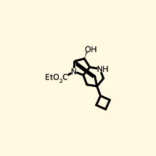 CCOC(=O)N1C2=CC3(C4CCC4)CNC(C1C3)[C@H]2O